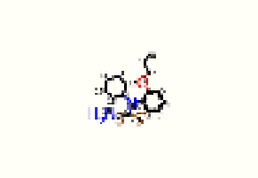 CCCOc1cccc2c1N(C1CCCCC1)C(SN)S2